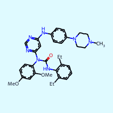 CCc1cccc(CC)c1NC(=O)N(c1cc(Nc2ccc(N3CCN(C)CC3)cc2)ncn1)c1ccc(OC)cc1OC